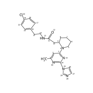 Cc1cc(N2CCCCC2CC(=O)NCCc2ccc(Cl)cc2)nc(-n2ccnc2)n1